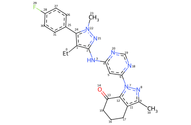 CCc1c(Nc2cc(-n3nc(C)c4c3C(=O)CCC4)ncn2)nn(C)c1-c1ccc(F)cc1